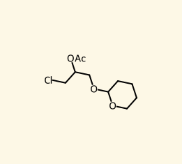 CC(=O)OC(CCl)COC1CCCCO1